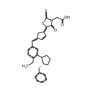 CCc1ccc(/C=C2C=C/C(=C3/SC(=S)N(CC(=O)O)C3=O)C\2)cc1C1CCC[C@@H]1Cc1ccccc1